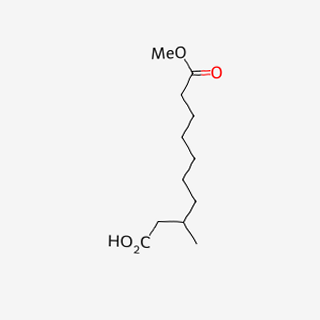 COC(=O)CCCCCCC(C)CC(=O)O